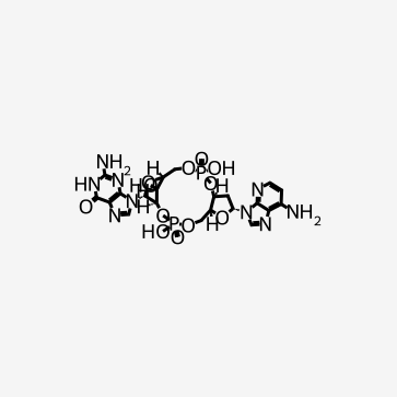 Nc1nc2c(ncn2[C@@H]2O[C@@H]3COP(=O)(O)O[C@H]4C[C@H](n5cnc6c(N)ccnc65)O[C@@H]4COP(=O)(O)O[C@@H]2[C@@H]3O)c(=O)[nH]1